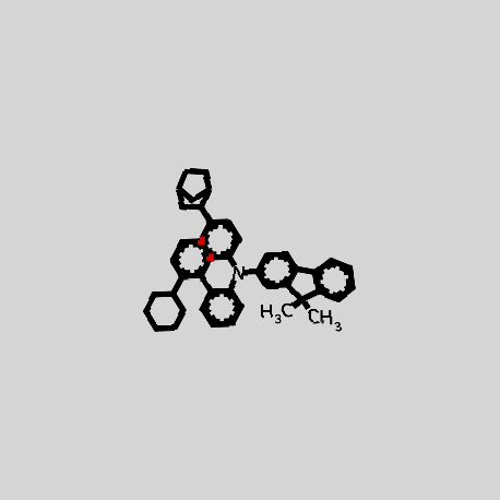 CC1(C)c2ccccc2-c2ccc(N(c3ccc(C4CC5CCC4C5)cc3)c3ccccc3-c3ccccc3C3CCCCC3)cc21